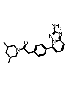 CC1CC(C)CN(C(=O)Cc2ccc(-c3cccc4nc(N)nn34)cc2)C1